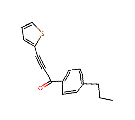 CCCc1ccc(C(=O)C#Cc2cccs2)cc1